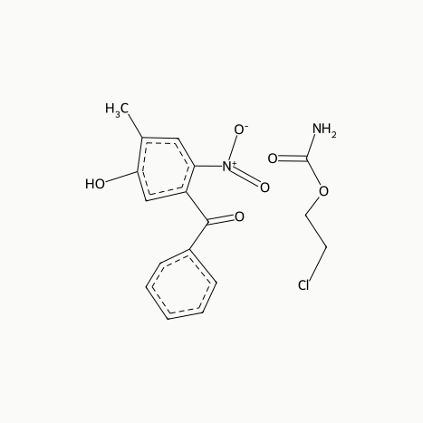 Cc1cc([N+](=O)[O-])c(C(=O)c2ccccc2)cc1O.NC(=O)OCCCl